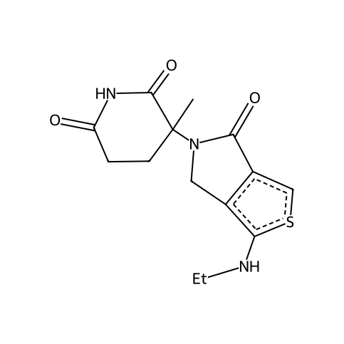 CCNc1scc2c1CN(C1(C)CCC(=O)NC1=O)C2=O